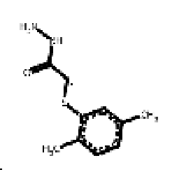 Cc1ccc(C)c(SCC(=O)NN)c1